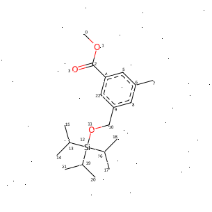 COC(=O)c1cc(C)cc(CO[Si](C(C)C)(C(C)C)C(C)C)c1